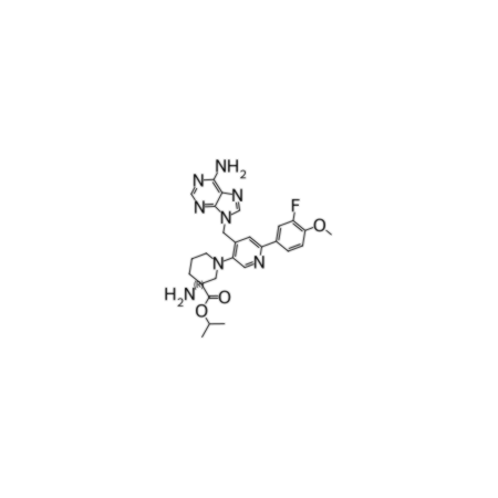 COc1ccc(-c2cc(Cn3cnc4c(N)ncnc43)c(N3CCC[C@](N)(C(=O)OC(C)C)C3)cn2)cc1F